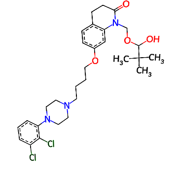 CC(C)(C)C(O)OCN1C(=O)CCc2ccc(OCCCCN3CCN(c4cccc(Cl)c4Cl)CC3)cc21